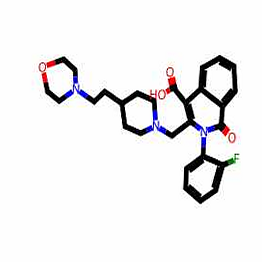 O=C(O)c1c(CN2CCC(CCN3CCOCC3)CC2)n(-c2ccccc2F)c(=O)c2ccccc12